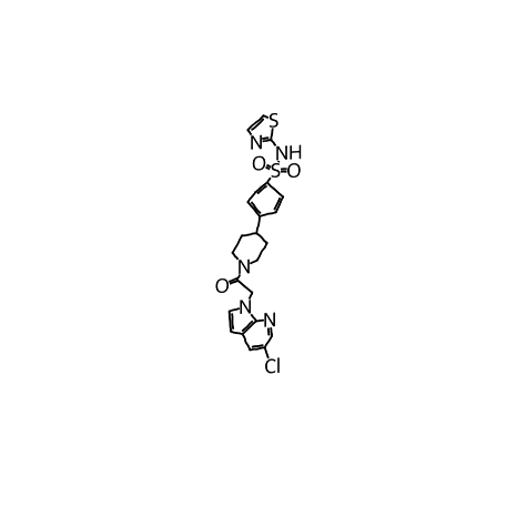 O=C(Cn1ccc2cc(Cl)cnc21)N1CCC(c2ccc(S(=O)(=O)Nc3nccs3)cc2)CC1